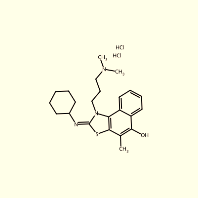 Cc1c(O)c2ccccc2c2c1s/c(=N/C1CCCCC1)n2CCCN(C)C.Cl.Cl